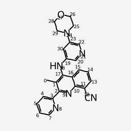 Cc1c(-c2ccccn2)nc2c(C#N)cccc2c1Nc1cncc(N2CCOCC2)c1